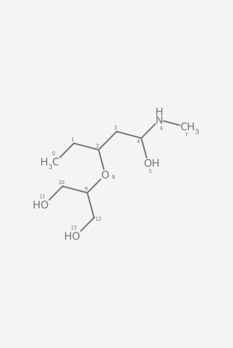 CCC(CC(O)NC)OC(CO)CO